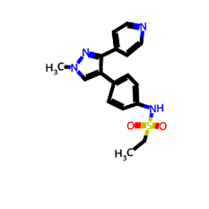 CCS(=O)(=O)Nc1ccc(-c2cn(C)nc2-c2ccncc2)cc1